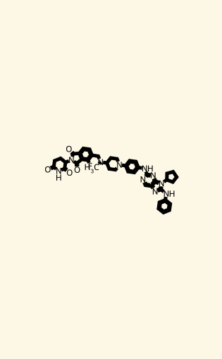 CN(Cc1ccc2c(c1F)C(=O)N(C1CCC(=O)NC1=O)C2=O)C1CCN(c2ccc(Nc3ncc4nc(Nc5ccccc5)n(C5CCCC5)c4n3)cc2)CC1